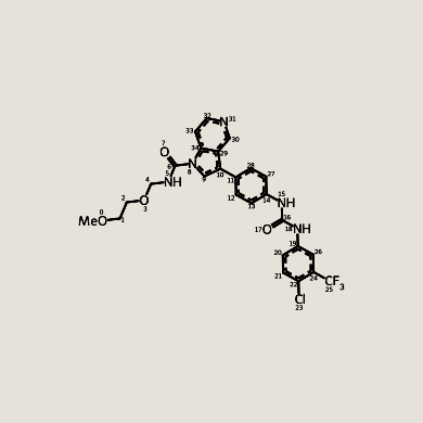 COCCOCNC(=O)n1cc(-c2ccc(NC(=O)Nc3ccc(Cl)c(C(F)(F)F)c3)cc2)c2cnccc21